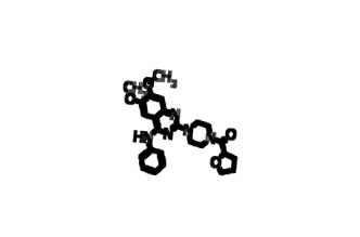 COc1cc2nc(N3CCN(C(=O)C4CCCO4)CC3)nc(Nc3ccccc3)c2cc1OC